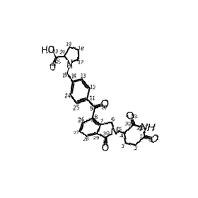 O=C1CCC(N2Cc3c(C(=O)c4ccc(CN5CCCC5C(=O)O)cc4)cccc3C2=O)C(=O)N1